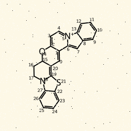 C1=c2c(cc[n+]3c2=Cc2ccccc2-3)OC2CCN3C(=C12)Sc1ccccc13